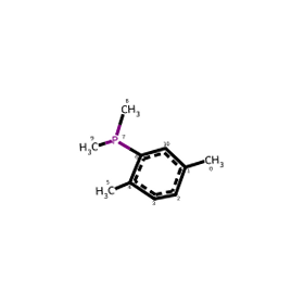 Cc1ccc(C)c(P(C)C)c1